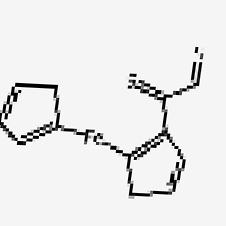 S=CC(=S)C1=[C]([Fe][C]2=CC=CC2)CC=C1